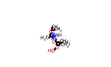 CCc1cc(OC(CC)CC)nn2c(=N)n(CC(=O)c3cc(OCCO)cc(C(C)(C)C)c3)nc12